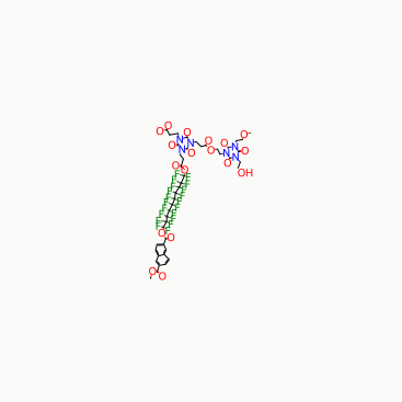 COCCn1c(=O)n(CCO)c(=O)n(CCOC(=O)CCn2c(=O)n(CCC(=O)OC)c(=O)n(CCC(=O)OC(F)(F)C(F)(F)C(F)(F)C(F)(F)C(F)(F)C(F)(F)C(F)(F)C(F)(F)C(F)(F)C(F)(F)OC(=O)c3ccc4cc(C(=O)OC)ccc4c3)c2=O)c1=O